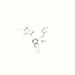 C=CC(=O)N(CCC1CCN(C)C1)c1cccc2c1CNC2.O=C(O)C(F)(F)F.O=C(O)C(F)(F)F